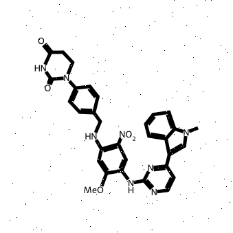 COc1cc(NCc2ccc(N3CCC(=O)NC3=O)cc2)c([N+](=O)[O-])cc1Nc1nccc(-c2cn(C)c3ccccc23)n1